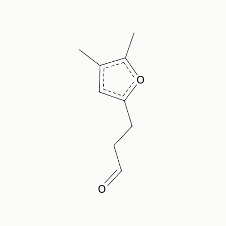 Cc1cc(CCC=O)oc1C